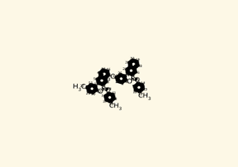 Cc1ccc(OP(Oc2ccc(C)cc2)c2[c]c3ccccc3cc2)cc1.Cc1ccc(OP(Oc2ccc(C)cc2)c2[c]c3ccccc3cc2)cc1